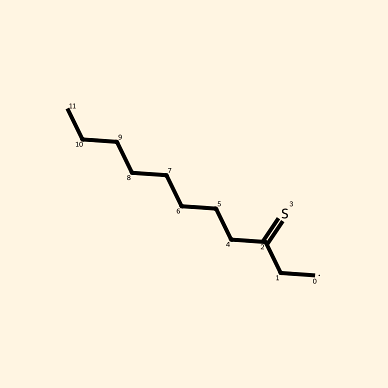 [CH2]CC(=S)CCCCCCCC